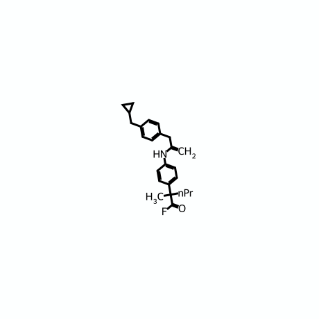 C=C(Cc1ccc(CC2CC2)cc1)Nc1ccc(C(C)(CCC)C(=O)F)cc1